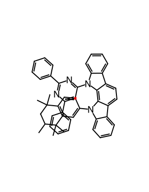 CC1CC(C)(C)c2ccc(-n3c4ccccc4c4ccc5c6ccccc6n(-c6cc(-c7ccccc7)nc(-c7ccccc7)n6)c5c43)cc2C1(C)C